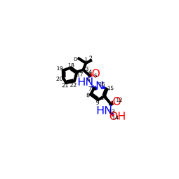 CC(C)C(C(=O)Nc1ccc(C(=O)NO)cn1)c1ccccc1